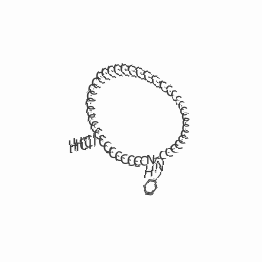 Cl.Cl.c1ccc(CN2CC3(CCCCCCCCCCCCCCCCCCCCCCCCCCCCCCCCCCCCCCCCN3)C2)cc1